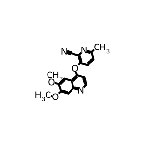 COc1cc2nccc(Oc3ccc(C)nc3C#N)c2cc1OC